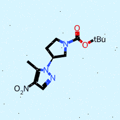 Cc1c([N+](=O)[O-])cnn1[C@H]1CCN(C(=O)OC(C)(C)C)C1